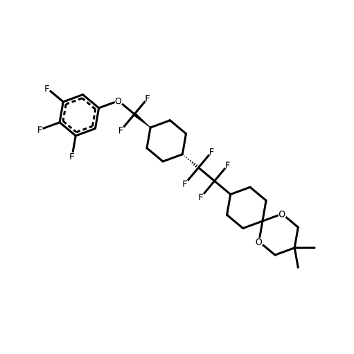 CC1(C)COC2(CCC(C(F)(F)C(F)(F)[C@H]3CC[C@H](C(F)(F)Oc4cc(F)c(F)c(F)c4)CC3)CC2)OC1